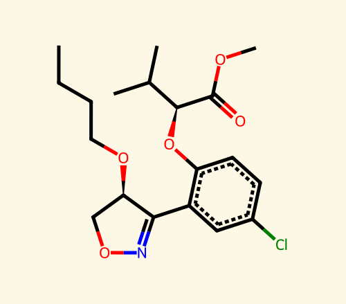 CCCCO[C@@H]1CON=C1c1cc(Cl)ccc1O[C@H](C(=O)OC)C(C)C